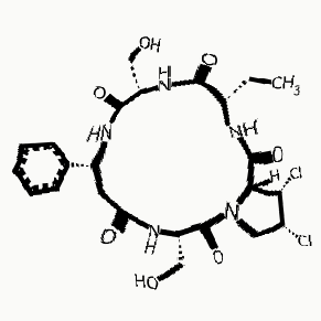 CC[C@@H]1NC(=O)[C@@H]2[C@H](Cl)[C@H](Cl)CN2C(=O)[C@H](CO)NC(=O)C[C@H](c2ccccc2)NC(=O)[C@H](CO)NC1=O